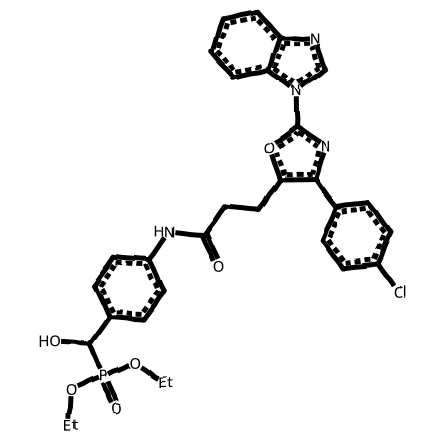 CCOP(=O)(OCC)C(O)c1ccc(NC(=O)CCc2oc(-n3cnc4ccccc43)nc2-c2ccc(Cl)cc2)cc1